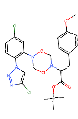 COc1ccc(CC(C(=O)OC(C)(C)C)N2CON(c3cc(Cl)ccc3-n3cc(Cl)nn3)CO2)cc1